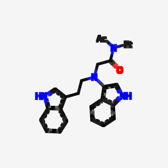 CCN(C(C)=O)C(=O)CN(CCc1c[nH]c2ccccc12)c1c[nH]c2ccccc12